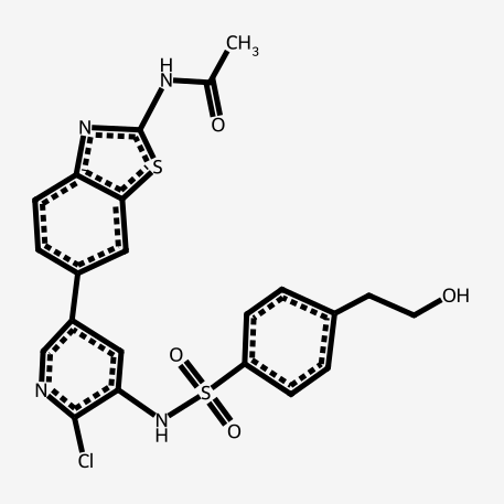 CC(=O)Nc1nc2ccc(-c3cnc(Cl)c(NS(=O)(=O)c4ccc(CCO)cc4)c3)cc2s1